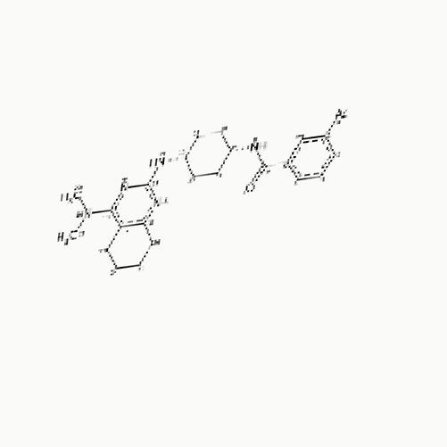 CC(=O)c1cccc(C(=O)N[C@H]2CC[C@@H](Nc3nc4c(c(N(C)C)n3)CCCC4)CC2)c1